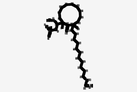 CCCCCCCCCCC(O[SH](=O)=O)C1(C)CCCCCCCCCC(C)(CCCCCCCCCCCOS(=O)(=O)O)C1=O